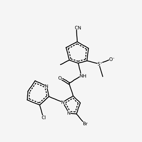 Cc1cc(C#N)cc([S+](C)[O-])c1NC(=O)c1cc(Br)nn1-c1ncccc1Cl